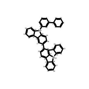 c1ccc(-c2cccc(-n3c4ccccc4c4cc(-c5ccc6c7ccccc7n7c8ccccc8c5c67)ccc43)c2)cc1